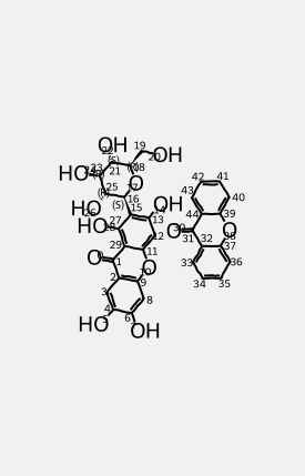 O=c1c2cc(O)c(O)cc2oc2cc(O)c([C@@H]3O[C@H](CO)[C@@H](O)[C@H](O)[C@H]3O)c(O)c12.O=c1c2ccccc2oc2ccccc12